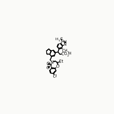 CC[C@@H]1CN(Cc2cc(C(CC(=O)O)c3ccc4c(nnn4C)c3C)cc3c2CCC3)S(=O)(=O)c2ccc(Cl)cc2O1